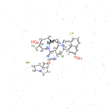 CCc1c(F)ccc2cc(O)cc(-c3nc(OC)c4c(N5CCC[C@](O)(CF)C5)nc(OC[C@@]56CCCN5C[C@H](F)C6)nc4c3F)c12